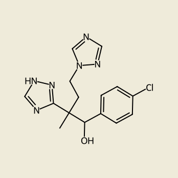 CC(CCn1cncn1)(c1nc[nH]n1)C(O)c1ccc(Cl)cc1